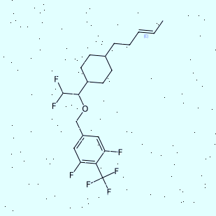 C/C=C/CCC1CCC(C(OCc2cc(F)c(C(F)(F)F)c(F)c2)C(F)F)CC1